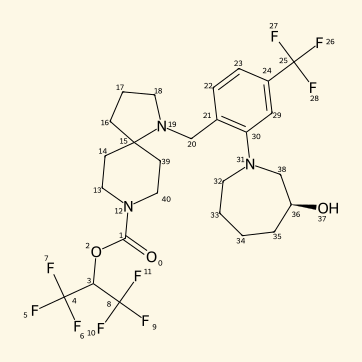 O=C(OC(C(F)(F)F)C(F)(F)F)N1CCC2(CCCN2Cc2ccc(C(F)(F)F)cc2N2CCCC[C@H](O)C2)CC1